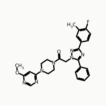 COc1cc(N2CCN(C(=O)Cn3nc(-c4ccc(F)c(C)c4)nc3-c3ccccc3)CC2)ncn1